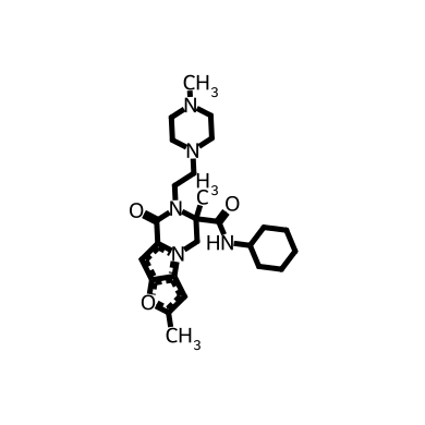 Cc1cc2c(cc3n2CC(C)(C(=O)NC2CCCCC2)N(CCN2CCN(C)CC2)C3=O)o1